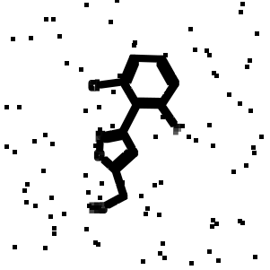 OCc1cc(-c2c(F)cccc2Cl)no1